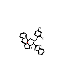 CCOc1ccc2ccccc2c1CN(Cc1ccc(Cl)cc1Cl)C(c1nc2ccccc2[nH]1)C1CCCC1